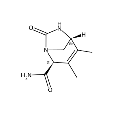 CC1=C(C)[C@@H]2CN(C(=O)N2)[C@@H]1C(N)=O